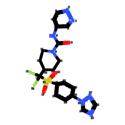 O=C(Nc1ccnnc1)N1CCC(C(F)(F)S(=O)(=O)c2ccc(-n3cncn3)cc2)CC1